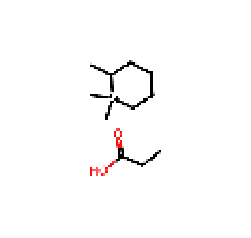 CC1CCCC[Si]1(C)C.CCC(=O)O